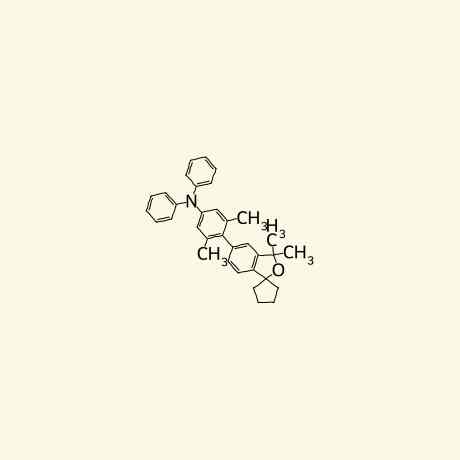 Cc1cc(N(c2ccccc2)c2ccccc2)cc(C)c1-c1ccc2c(c1)C(C)(C)OC21CCCC1